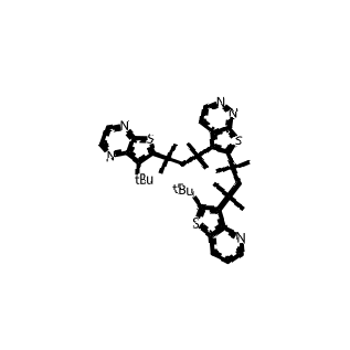 CC(C)(C)c1sc2cccnc2c1C(C)(C)CC(C)(C)c1sc2nnccc2c1C(C)(C)CC(C)(C)c1sc2nccnc2c1C(C)(C)C